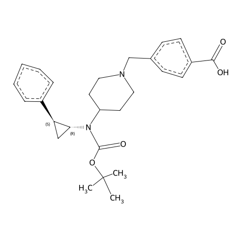 CC(C)(C)OC(=O)N(C1CCN(Cc2ccc(C(=O)O)cc2)CC1)[C@@H]1C[C@H]1c1ccccc1